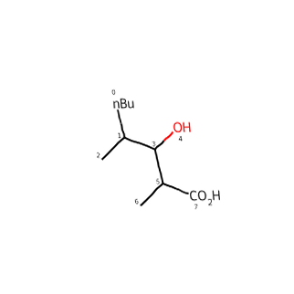 CCCCC(C)C(O)C(C)C(=O)O